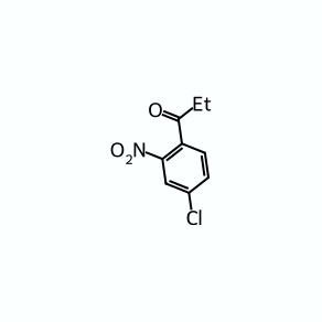 CCC(=O)c1ccc(Cl)cc1[N+](=O)[O-]